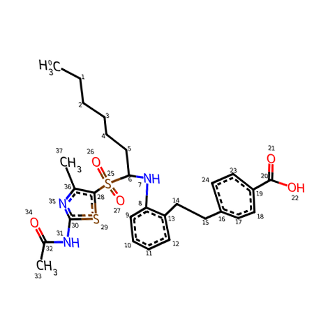 CCCCCCC(Nc1ccccc1CCc1ccc(C(=O)O)cc1)S(=O)(=O)c1sc(NC(C)=O)nc1C